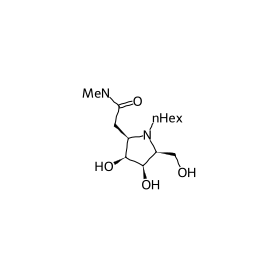 CCCCCCN1[C@H](CC(=O)NC)[C@H](O)[C@H](O)[C@@H]1CO